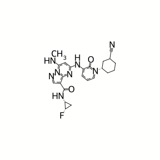 CNc1cc(Nc2cccn([C@H]3CCCC(C#N)C3)c2=O)nc2c(C(=O)N[C@@H]3C[C@@H]3F)cnn12